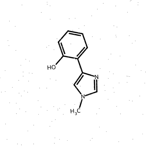 Cn1cnc(-c2ccccc2O)c1